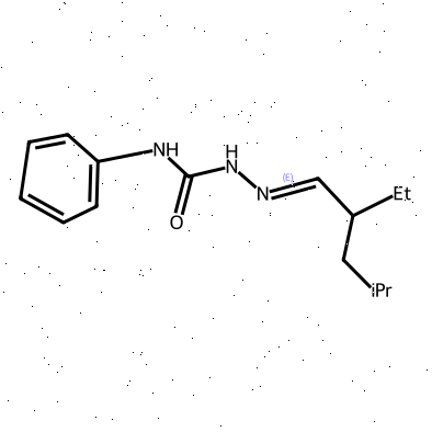 CCC(/C=N/NC(=O)Nc1ccccc1)CC(C)C